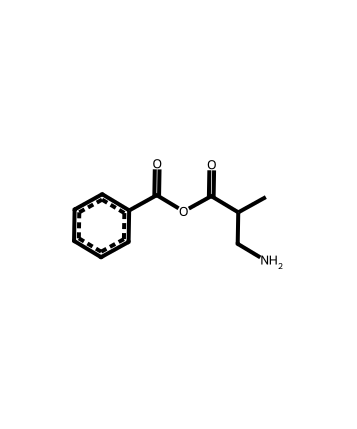 CC(CN)C(=O)OC(=O)c1ccccc1